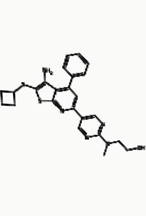 CN(CCO)c1ncc(-c2cc(-c3ccccc3)c3c(N)c(SC4CCC4)sc3n2)cn1